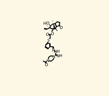 C=C[C@]1(C)C[C@@H](OC(=O)CSc2cccc(/C=N/NC(=N)N3CCN(C(C)=O)CC3)c2)[C@]2(C)C(C)CCC3(CCC(=O)C32)[C@@H](C)[C@@H]1O